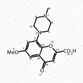 COc1cc(N2CCN(C)CC2)c2oc(C(=O)O)cc(=O)c2c1